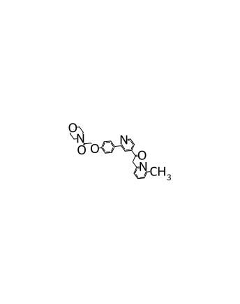 Cc1cccc(CC(=O)c2ccnc(-c3ccc(OCC(=O)N4CCOCC4)cc3)c2)n1